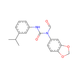 CC(C)c1cccc(NC(=O)N(C=O)c2ccc3c(c2)OCO3)c1